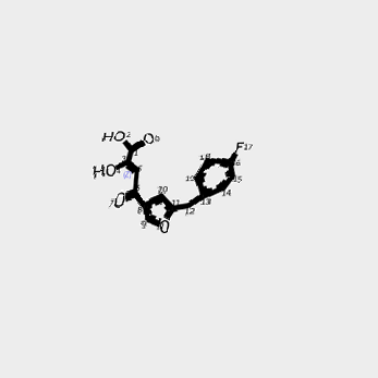 O=C(O)/C(O)=C/C(=O)c1coc(Cc2ccc(F)cc2)c1